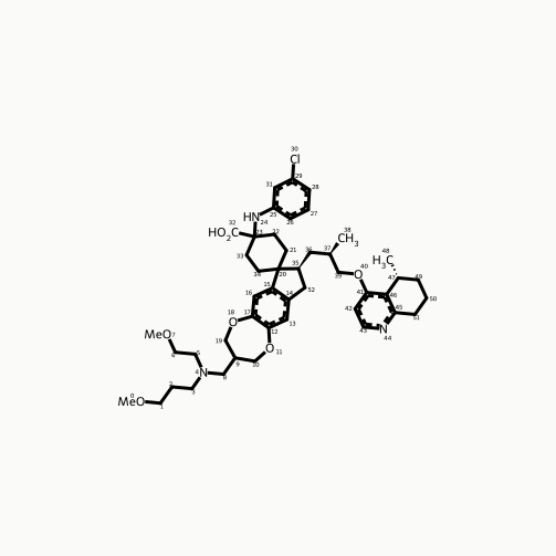 COCCCN(CCOC)CC1COc2cc3c(cc2OC1)C1(CCC(Nc2cccc(Cl)c2)(C(=O)O)CC1)[C@@H](C[C@@H](C)COc1ccnc2c1[C@H](C)CCC2)C3